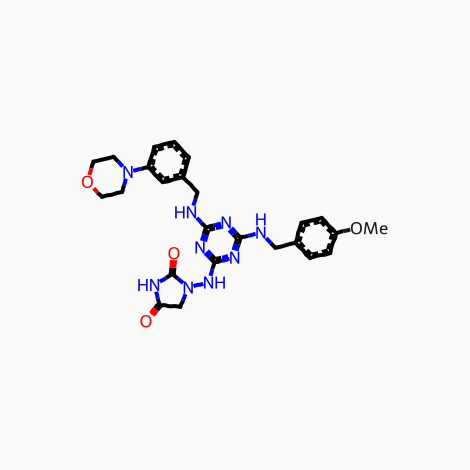 COc1ccc(CNc2nc(NCc3cccc(N4CCOCC4)c3)nc(NN3CC(=O)NC3=O)n2)cc1